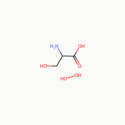 NC(CO)C(=O)O.OO